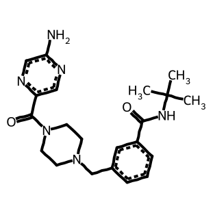 CC(C)(C)NC(=O)c1cccc(CN2CCN(C(=O)c3cnc(N)cn3)CC2)c1